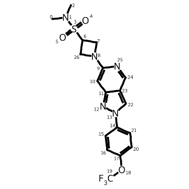 CN(C)S(=O)(=O)C1CN(c2cc3nn(-c4ccc(OC(F)(F)F)cc4)cc3cn2)C1